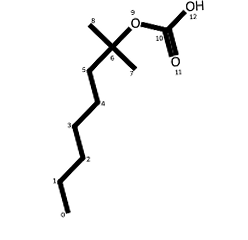 CCCCCCC(C)(C)OC(=O)O